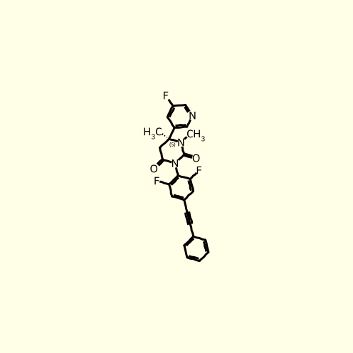 CN1C(=O)N(c2c(F)cc(C#Cc3ccccc3)cc2F)C(=O)C[C@@]1(C)c1cncc(F)c1